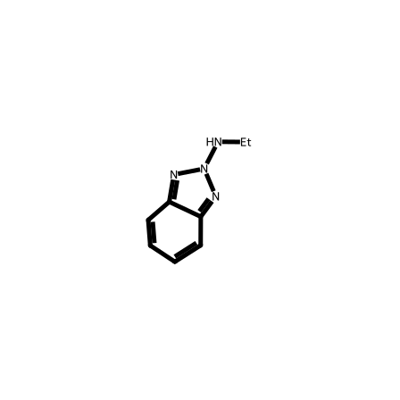 CCNn1nc2ccccc2n1